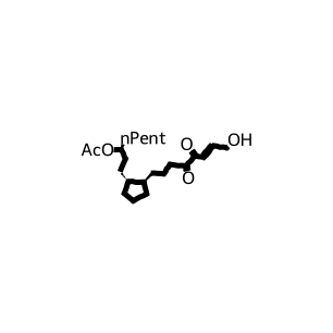 CCCCC[C@@H](CC[C@H]1CCC[C@@H]1CCCC(=O)C(=O)C=CCO)OC(C)=O